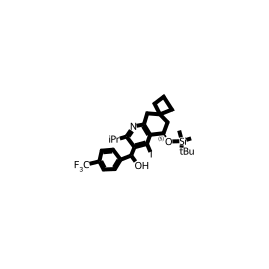 CC(C)c1nc2c(c(I)c1C(O)c1ccc(C(F)(F)F)cc1)[C@@H](O[Si](C)(C)C(C)(C)C)CC1(CCC1)C2